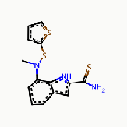 CN(Sc1cccs1)c1cccc2cc(C(N)=S)[nH]c12